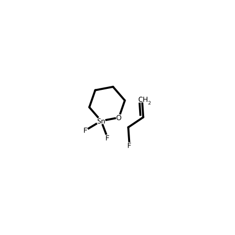 C=CCF.[F][Sn]1([F])[CH2]CCC[O]1